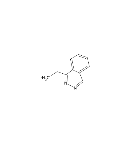 [CH2]Cc1nncc2ccccc12